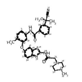 Cc1ccc(NC(=O)c2cccc(C(C)(C)C#N)c2)cc1Oc1ccc2nc(NC(=O)CN3CCN(C)CC3)sc2c1